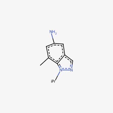 Cc1cc(N)cc2cnn(C(C)C)c12